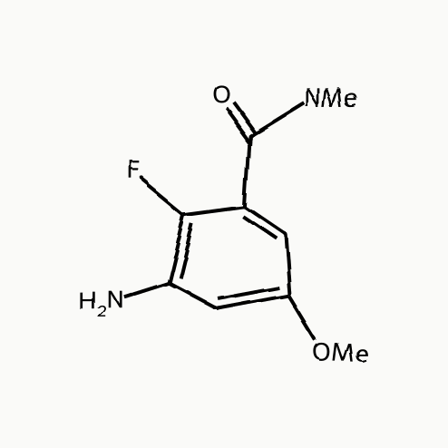 CNC(=O)c1cc(OC)cc(N)c1F